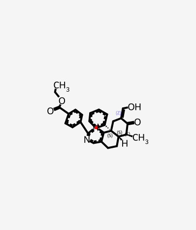 CCOC(=O)c1ccc(-c2ncc3c(n2)[C@@]2(c4ccccc4)C/C(=C/O)C(=O)[C@@H](C)[C@@H]2CC3)cc1